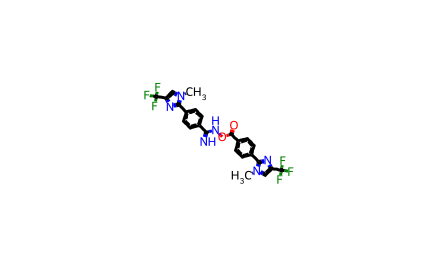 Cn1cc(C(F)(F)F)nc1-c1ccc(C(=N)NOC(=O)c2ccc(-c3nc(C(F)(F)F)cn3C)cc2)cc1